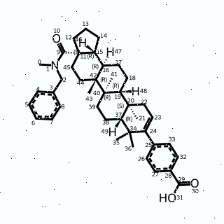 CN(Cc1ccccc1)C(=O)[C@]12CCC[C@@H]1[C@H]1CC[C@@H]3[C@@]4(C)CC=C(c5ccc(C(=O)O)cc5)C(C)(C)[C@@H]4CC[C@@]3(C)[C@]1(C)CC2